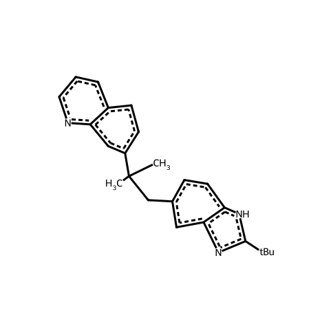 CC(C)(C)c1nc2cc(CC(C)(C)c3ccc4cccnc4c3)ccc2[nH]1